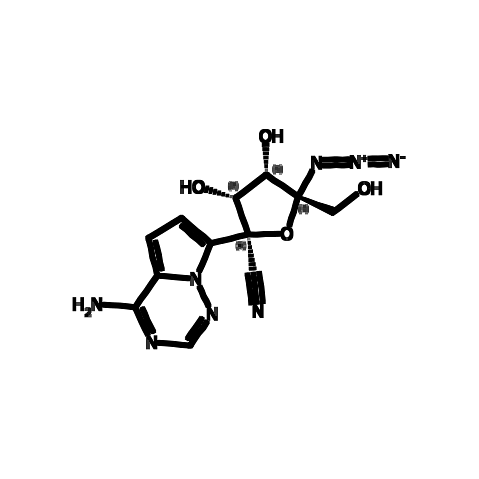 N#C[C@@]1(c2ccc3c(N)ncnn23)O[C@@](CO)(N=[N+]=[N-])[C@@H](O)[C@H]1O